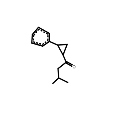 CC(C)CC(=O)C1CC1c1ccccc1